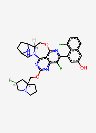 Oc1cc(-c2nc3c4c(nc(OC[C@@]56CCCN5C[C@H](F)C6)nc4c2F)N2CC4CCC(N4)[C@H]2CO3)c2c(F)cccc2c1